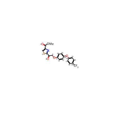 COC(=O)c1csc(C(=O)COc2ccc(Oc3ccc(C(F)(F)F)cc3)cc2)n1